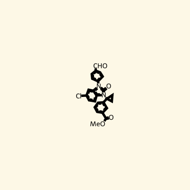 COC(=O)c1cccc(C2(n3c(=O)n(-c4ccc(C=O)cc4)c4cc(Cl)ccc43)CC2)c1